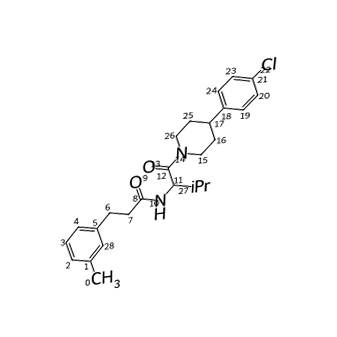 Cc1cccc(CCC(=O)NC(C(=O)N2CCC(c3ccc(Cl)cc3)CC2)C(C)C)c1